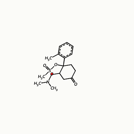 Cc1ccccc1C1(OS(C)(=O)=O)CCC(=O)CC1CN(C)C